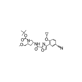 COC[C@@H]1C[C@@H](NC(=O)c2nc(-c3cc(C#N)ccc3OC3CC3)co2)CN1C(=O)OC(C)(C)C